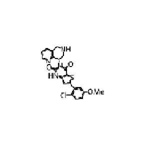 COc1ccc(Cl)c(-c2cc3[nH]c(=O)n([C@H]4CNCc5cccnc54)c(=O)c3s2)c1